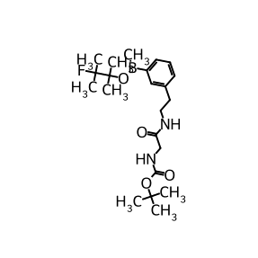 CB(OC(C)(C)C(C)(C)F)c1cccc(CCNC(=O)CNC(=O)OC(C)(C)C)c1